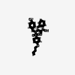 C=CCCOc1ccc(S(=O)(=O)N(Cc2ccc(Cl)cc2)[C@H](Cc2ccccc2)C(=O)NO)cc1